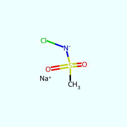 CS(=O)(=O)[N-]Cl.[Na+]